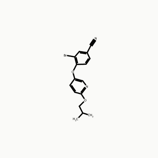 CC(C)COc1ccc(Oc2ccc(C#N)cc2Br)cn1